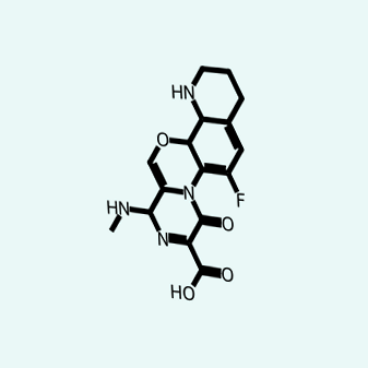 CNC1N=C(C(=O)O)C(=O)N2C1=COC1C2=C(F)C=C2CCCNC21